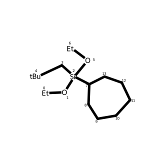 CCO[Si](CC(C)(C)C)(OCC)C1CCCCCC1